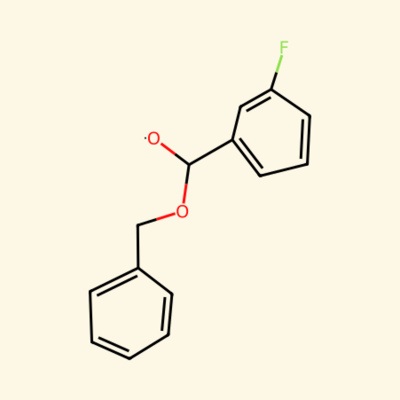 [O]C(OCc1ccccc1)c1cccc(F)c1